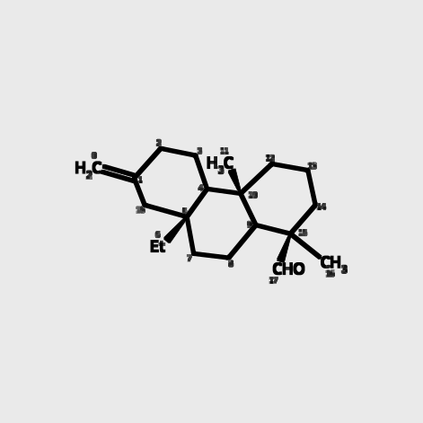 C=C1CCC2[C@](CC)(CCC3[C@@]2(C)CCC[C@@]3(C)C=O)C1